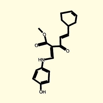 COC(=O)C(=CNc1ccc(O)cc1)C(=O)C=CC1CC=CCC1